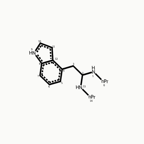 CCCNC(Cc1cccc2[nH]ccc12)NCCC